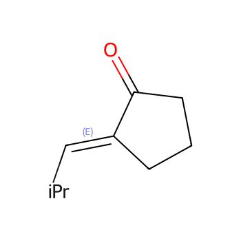 CC(C)/C=C1\CCCC1=O